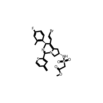 C=C1C=CSC(C2=N[C@@H](c3ccc(F)cc3C)C(/C=C/Br)=C3C[C@H](NS(=O)(=O)CC(=O)OC)CN23)=C1